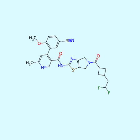 COc1ccc(C#N)cc1-c1cc(C)ncc1C(=O)Nc1nc2c(s1)CN(C(=O)C1CC(CC(F)F)C1)C2